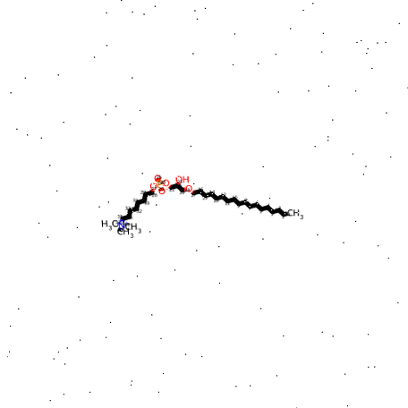 CCCCCCCCCCCCCCCCCCOCC(O)COP(=O)([O-])OCCCCCCCC[N+](C)(C)C